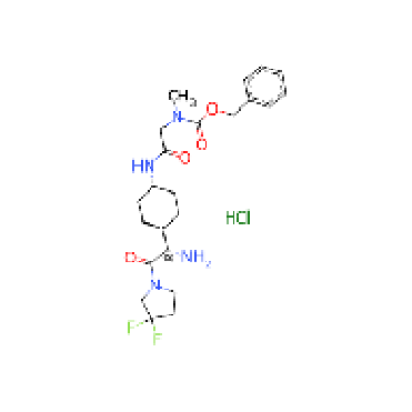 CN(CC(=O)N[C@H]1CC[C@H]([C@H](N)C(=O)N2CCC(F)(F)C2)CC1)C(=O)OCc1ccccc1.Cl